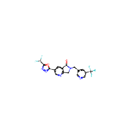 O=C1c2cc(-c3nnc(C(F)F)o3)cnc2CN1Cc1cncc(C(F)(F)F)c1